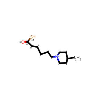 CC1CCN(CCCCCC(=O)S)CC1